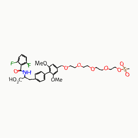 COc1cc(COCCOCCOCCOCCOS(C)(=O)=O)cc(OC)c1-c1ccc(C[C@H](NC(=O)c2c(F)cccc2F)C(=O)O)cc1